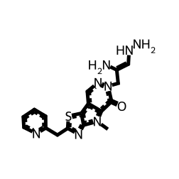 Cn1c2nc(Cc3ccccn3)sc2c2cnn(C/C(N)=C/NN)c(=O)c21